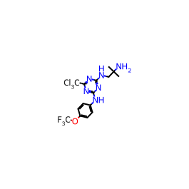 CC(C)(N)CNc1nc(Nc2ccc(OC(F)(F)F)cc2)nc(C(Cl)(Cl)Cl)n1